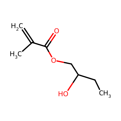 C=C(C)C(=O)OCC(O)CC